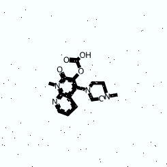 CN1CCN(c2c(OC(=O)O)c(=O)n(C)c3ncccc23)CC1